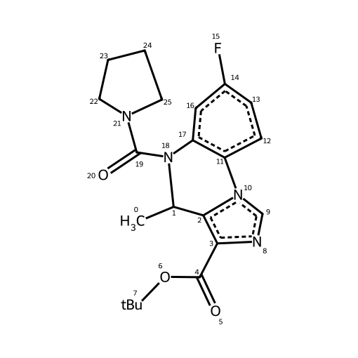 CC1c2c(C(=O)OC(C)(C)C)ncn2-c2ccc(F)cc2N1C(=O)N1CCCC1